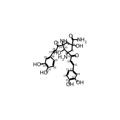 NC(=O)C1(O)CC(N)(C(=O)/C=C/c2ccc(O)c(O)c2)C(O)C(N)(C(=O)/C=C/c2ccc(O)c(O)c2)C1